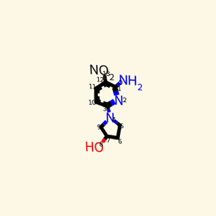 Nc1nc(N2CCC(O)C2)ccc1[N+](=O)[O-]